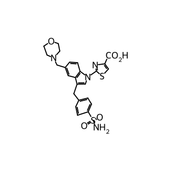 NS(=O)(=O)c1ccc(Cc2cn(-c3nc(C(=O)O)cs3)c3ccc(CN4CCOCC4)cc23)cc1